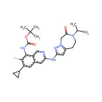 CC(C)N1CCc2cc(Nc3cc4cc(C5CC5)c(F)c(NC(=O)OC(C)(C)C)c4cn3)nn2CC1=O